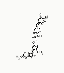 Cc1nc(SCC(=O)NC2CCN(Cc3ccc(Cl)c(Cl)c3)CC2)sc1-c1csc(CC(N)=O)n1